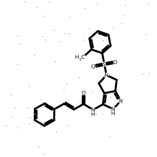 Cc1ccccc1S(=O)(=O)N1Cc2n[nH]c(NC(=O)C=Cc3ccccc3)c2C1